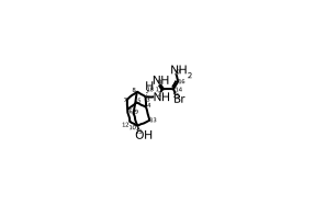 N=C(N[C@H]1C2CC3CC1C[C@@](O)(C3)C2)/C(Br)=C\N